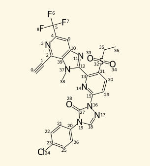 C#Cc1nc(C(F)(F)F)cc2nc(-c3nc(-n4ncn(-c5ccc(Cl)cc5)c4=O)ccc3S(=O)(=O)CC)n(C)c12